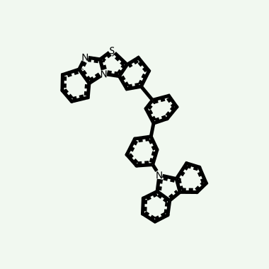 c1cc(-c2cccc(-n3c4ccccc4c4ccccc43)c2)cc(-c2ccc3sc4nc5ccccc5n4c3c2)c1